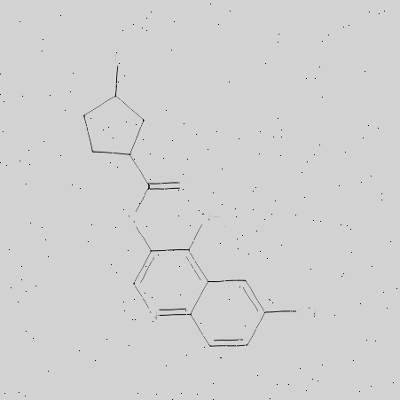 N#Cc1ccc2ncc(NC(=O)C3CCC(F)C3)c(N)c2c1